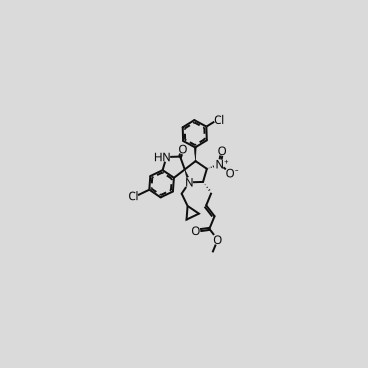 COC(=O)/C=C/C[C@H]1[C@@H]([N+](=O)[O-])[C@H](c2cccc(Cl)c2)[C@]2(C(=O)Nc3cc(Cl)ccc32)N1CC1CC1